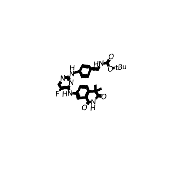 CC(C)(C)OC(=O)NC=C1C=CC(Nc2ncc(F)c(Nc3ccc4c(c3)C(=O)NC(=O)C4(C)C)n2)C=C1